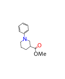 COC(=O)C1CCCN(c2ccccc2)C1